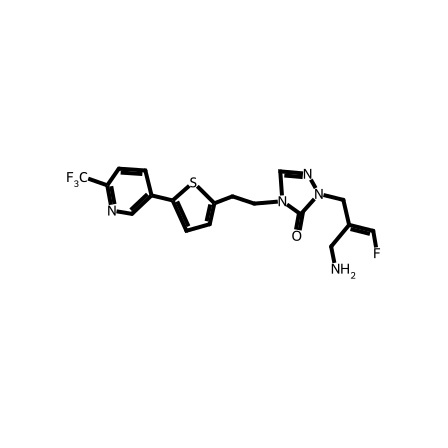 NC/C(=C\F)Cn1ncn(CCc2ccc(-c3ccc(C(F)(F)F)nc3)s2)c1=O